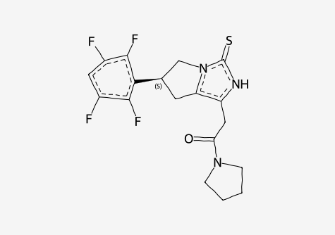 O=C(Cc1[nH]c(=S)n2c1C[C@@H](c1c(F)c(F)cc(F)c1F)C2)N1CCCC1